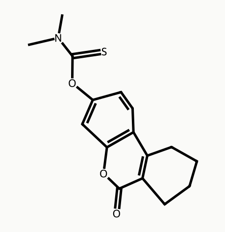 CN(C)C(=S)Oc1ccc2c3c(c(=O)oc2c1)CCCC3